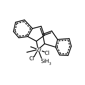 [CH3][Zr]([CH3])([SiH3])([Cl])([Cl])([CH]1C=Cc2ccccc21)[CH]1C=Cc2ccccc21